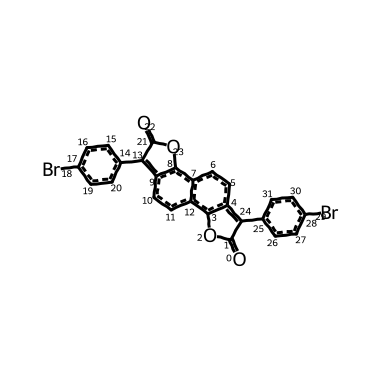 O=C1Oc2c(ccc3c4c(ccc23)=C(c2ccc(Br)cc2)C(=O)O4)=C1c1ccc(Br)cc1